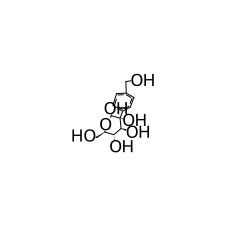 OCc1ccc([C@]2(O)[C@@H](O)O[C@H](CO)[C@@H](O)[C@@H]2O)cc1